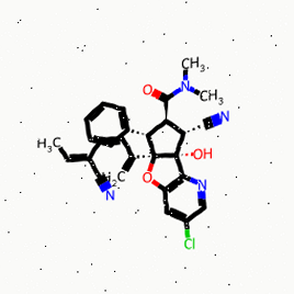 C=C(/C=C\C(C#N)=C/C)[C@@]12Oc3cc(Cl)cnc3[C@]1(O)[C@@H](C#N)[C@H](C(=O)N(C)C)[C@H]2c1ccccc1